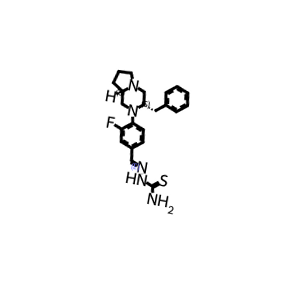 NC(=S)N/N=C/c1ccc(N2C[C@@H]3CCCN3C[C@@H]2Cc2ccccc2)c(F)c1